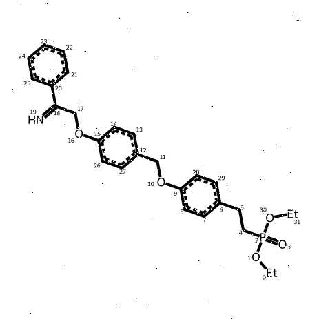 CCOP(=O)(CCc1ccc(OCc2ccc(OCC(=N)c3ccccc3)cc2)cc1)OCC